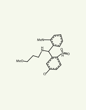 CNc1ccccc1C(NCCCOC)c1cc(Cl)ccc1[SH](=O)=O